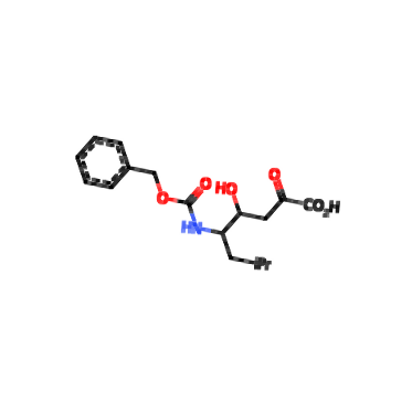 CC(C)CC(NC(=O)OCc1ccccc1)C(O)CC(=O)C(=O)O